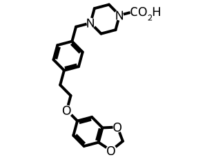 O=C(O)N1CCN(Cc2ccc(CCOc3ccc4c(c3)OCO4)cc2)CC1